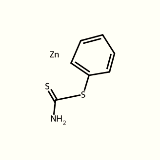 NC(=S)Sc1ccccc1.[Zn]